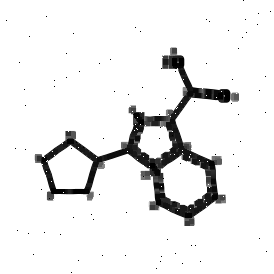 O=C(O)c1nc(C2CCCC2)n2ccccc12